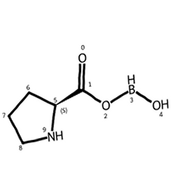 O=C(OBO)[C@@H]1CCCN1